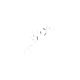 CS(=O)(=O)Nc1ccc(-c2cn(CCN3CCCCC3)nc2O)cc1